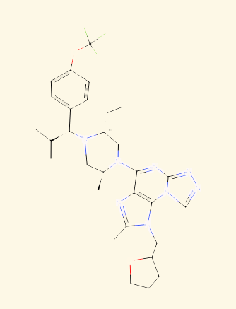 CC[C@@H]1CN(c2nc3nncn3c3c2nc(C)n3CC2CCCO2)[C@@H](C)CN1[C@H](c1ccc(OC(F)(F)F)cc1)C(C)C